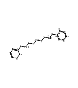 C1=CN=C(CNCCNCCNCc2ccccn2)CC1